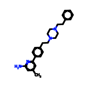 Cc1cc(N)nc(-c2ccc(CCN3CCN(CCc4ccccc4)CC3)cc2)c1